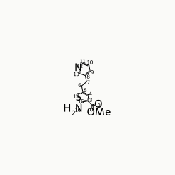 COC(=O)c1cc(CCc2cccnc2)sc1N